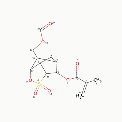 C=C(C)C(=O)OC1C2CC3C(OS(=O)(=O)C31)C2COC=O